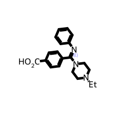 CCN1CCN(/C(=N/c2ccccc2)c2ccc(C(=O)O)cc2)CC1